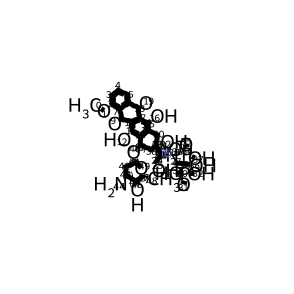 COc1cccc2c1C(=O)c1c(O)c3c(c(O)c1C2=O)C[C@@](O)(/C(CO)=N/CC(O)(P(=O)(O)O)P(=O)(O)O)C[C@@H]3O[C@H]1C[C@H](N)[C@H](O)[C@H](C)O1